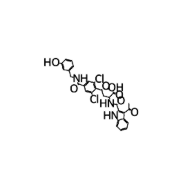 CC(=O)c1c(C(=O)NC(CC(=O)c2c(Cl)cc(C(=O)NCc3cccc(O)c3)cc2Cl)C(=O)O)[nH]c2ccccc12